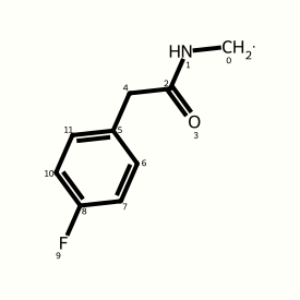 [CH2]NC(=O)Cc1ccc(F)cc1